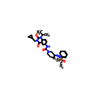 CC(C)n1c(=O)n(CC2CC2)c(=O)c2cc(NC(=O)N3CCCC(NS(C)(C)(=O)C4=CC=CCC4)C3)ccc21